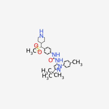 Cc1ccc(-n2nc(C(C)(C)C)cc2NC(=O)Nc2ccc(C(C3CCNCC3)S(C)(=O)=O)cc2)cc1